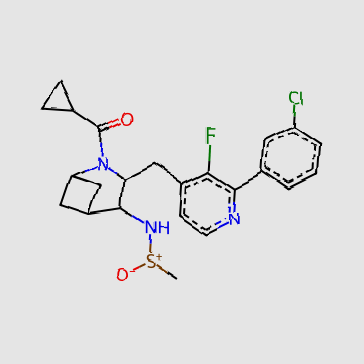 C[S+]([O-])NC1C2CC(C2)N(C(=O)C2CC2)C1Cc1ccnc(-c2cccc(Cl)c2)c1F